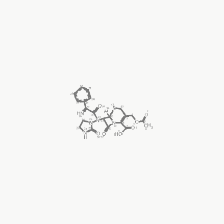 CC(=O)OCC1=C(C(=O)O)N2C(=O)C(N(C(=O)C(=N)c3ccccc3)N3CCNC3=O)[C@@H]2SC1